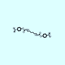 O=C(NCCCCCCNC(=O)Oc1ccc([N+](=O)[O-])cc1)Oc1ccc([N+](=O)[O-])cc1